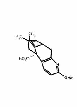 C/C=C1\C2C=C(C)C[C@]1(C(=O)O)c1ccc(OC)nc1C2